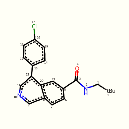 CC(C)(C)CNC(=O)c1ccc2cncc(-c3ccc(Cl)cc3)c2c1